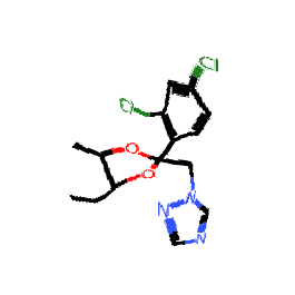 CCC1OC(Cn2cncn2)(c2ccc(Cl)cc2Cl)OC1C